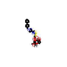 CC[C@]12C[C@@H](OC(=O)CSc3nc(-c4cc[n+](Cc5ccc(-c6ccccc6)cc5)cc4)cs3)[C@]3(C)[C@H](C)CC[C@]4(CCC(=O)[C@H]43)[C@@H](C)[C@@H]1O2